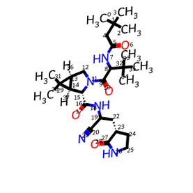 CC(C)(C)CC(=O)NC(C(=O)N1C[C@H]2[C@@H]([C@H]1C(=O)NC(C#N)C[C@@H]1CCNC1=O)C2(C)C)C(C)(C)C